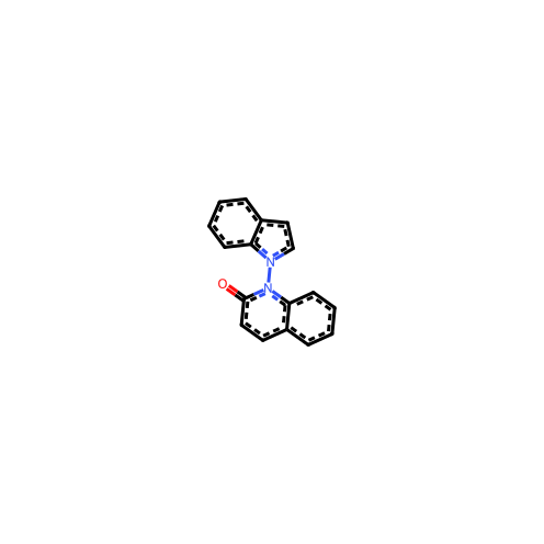 O=c1ccc2ccccc2n1-n1ccc2ccccc21